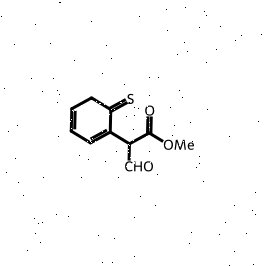 COC(=O)C(C=O)C1=CC=CCC1=S